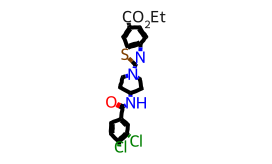 CCOC(=O)c1ccc2nc(N3CCC(NC(=O)c4ccc(Cl)c(Cl)c4)CC3)sc2c1